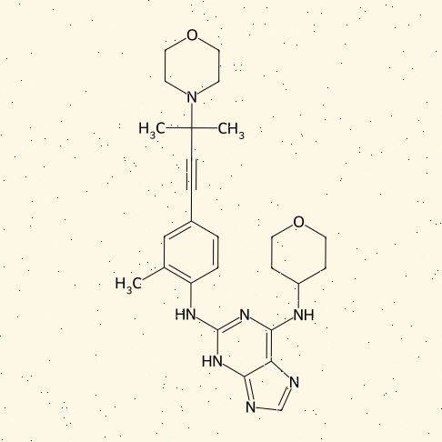 Cc1cc(C#CC(C)(C)N2CCOCC2)ccc1Nc1nc(NC2CCOCC2)c2ncnc-2[nH]1